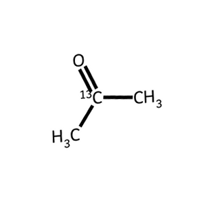 C[13C](C)=O